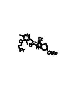 CCn1c([S+]([O-])Cc2ncc(C)c(OCCC(C)C)c2C)nc2cc(OC)ccc21